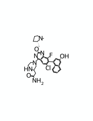 CN1CCC[C@H]1COc1nc(N2CCNC(CC(N)=O)C2)c2cc(Cl)c(-c3cc(O)cc4ccccc34)c(F)c2n1